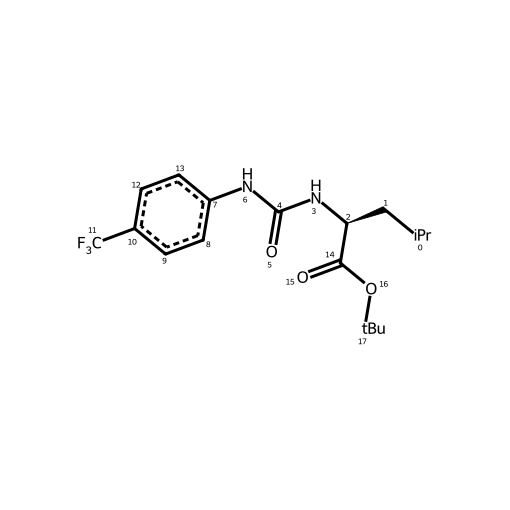 CC(C)C[C@H](NC(=O)Nc1ccc(C(F)(F)F)cc1)C(=O)OC(C)(C)C